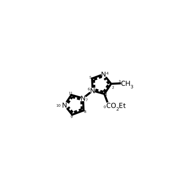 CCOC(=O)c1c(C)ncn1-n1ccnc1